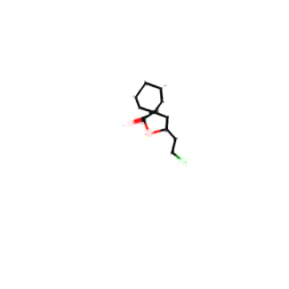 O=C1OC(CCBr)CC12CCCCC2